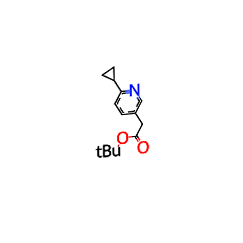 CC(C)(C)OC(=O)Cc1ccc(C2CC2)nc1